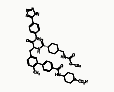 Cc1ccc(C[C@H](NC(=O)[C@H]2CC[C@H](CNC(=O)OC(C)(C)C)CC2)C(=O)Nc2ccc(-c3nnn[nH]3)cc2)cc1-c1ccc(C(=O)NC2CCN(C(=O)O)CC2)cc1